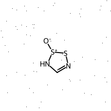 [O-][S+]1NC=NS1